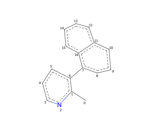 Cc1ncccc1-c1cccc2ccccc12